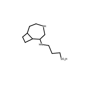 O=S(=O)(O)CCCNC1CNCCC2CCC21